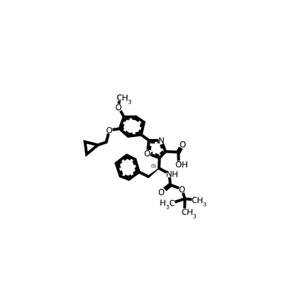 COc1ccc(-c2nc(C(=O)O)c([C@H](Cc3ccccc3)NC(=O)OC(C)(C)C)o2)cc1OCC1CC1